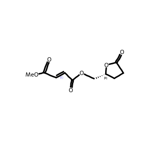 COC(=O)/C=C/C(=O)OC[C@H]1CCC(=O)O1